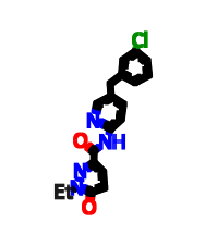 CCn1nc(C(=O)Nc2ccc(Cc3cccc(Cl)c3)cn2)ccc1=O